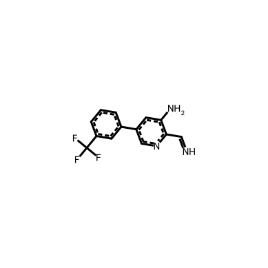 N=Cc1ncc(-c2cccc(C(F)(F)F)c2)cc1N